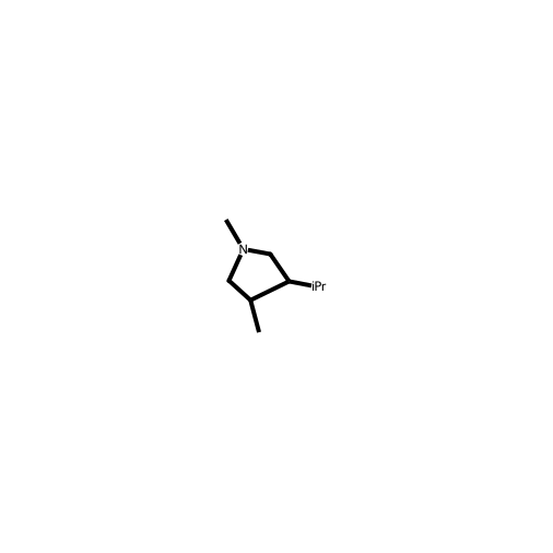 CC(C)C1CN(C)CC1C